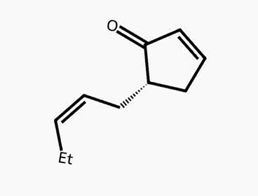 CC/C=C\C[C@H]1CC=CC1=O